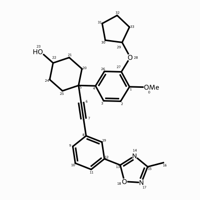 COc1ccc(C2(C#Cc3cccc(-c4nc(C)no4)c3)CCC(O)CC2)cc1OC1CCCC1